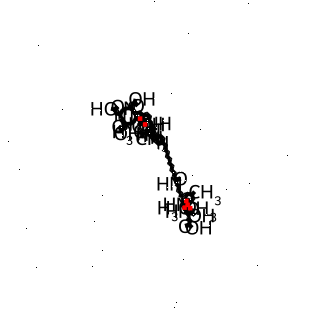 CC1CCC2C(C)(C)C2(O[C@@H](CCCCNC(=O)CCCCCCCCCCN2CCN(c3nc(Nc4ccc(CC5CN(CC(=O)O)CCN(CC(=O)O)CCN(CC(=O)O)CCN5CC(=O)O)cc4)nc(N(C)C)n3)CC2)NC(=O)N[C@@H](CCC(=O)O)C(=O)O)C1